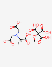 COC(C(=O)O)(C(=O)O)C(=O)O.C[C@@H](C(=O)O)N(CC(=O)O)CC(=O)O